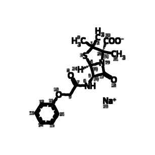 CC1(C)S[C@@H]2[C@H](NC(=O)COc3ccccc3)C(=O)N2[C@@]1(C)C(=O)[O-].[Na+]